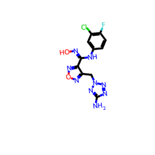 Nc1nnn(Cc2nonc2C(=NO)Nc2ccc(F)c(Cl)c2)n1